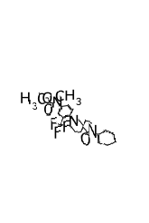 COC(=O)N(C)c1ccc(N2CCCC3(CCN(C4CCCCC4)C3=O)C2)c(C(F)(F)F)c1